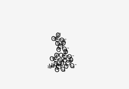 [Ir+3].[Ir+3].[O]=[Cr](=[O])([O-])[O][Cr](=[O])(=[O])[O-].[O]=[Cr](=[O])([O-])[O][Cr](=[O])(=[O])[O-].[O]=[Cr](=[O])([O-])[O][Cr](=[O])(=[O])[O-]